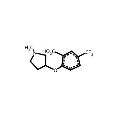 CN1CCC(Oc2ccc(C(F)(F)F)cc2C(=O)O)C1